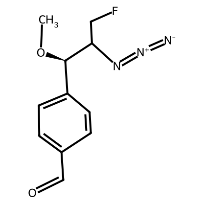 CO[C@H](c1ccc(C=O)cc1)C(CF)N=[N+]=[N-]